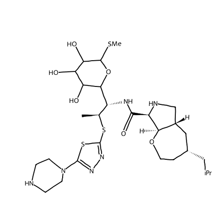 CSC1OC([C@H](NC(=O)[C@H]2NC[C@@H]3C[C@H](CC(C)C)CCO[C@H]32)[C@H](C)Sc2nnc(N3CCNCC3)s2)C(O)C(O)C1O